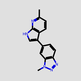 Cc1ccc2c(-c3ccc4nnn(C)c4c3)c[nH]c2n1